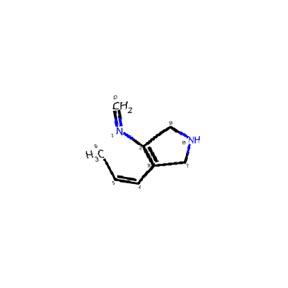 C=NC1=C(/C=C\C)CNC1